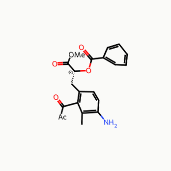 COC(=O)[C@@H](Cc1ccc(N)c(C)c1C(=O)C(C)=O)OC(=O)c1ccccc1